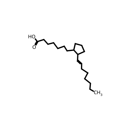 CCCCCC/C=C/C1CCCC1CCCCCCC(=O)O